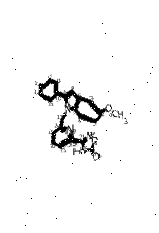 COc1ccc2c(c1)cc(-c1ccccc1)n2Cc1cccc(-c2noc(=O)[nH]2)n1